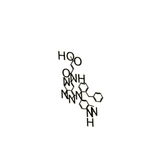 O=C(O)C=CC(=O)Nc1cc2c(N(c3ccc4[nH]ncc4c3)c3ccccc3Cc3ccccc3)ncnc2cn1